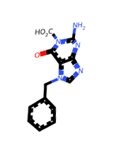 Nc1nc2ncn(Cc3ccccc3)c2c(=O)n1C(=O)O